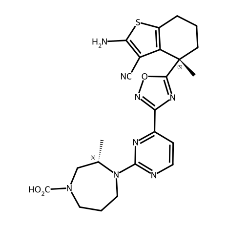 C[C@H]1CN(C(=O)O)CCCN1c1nccc(-c2noc([C@@]3(C)CCCc4sc(N)c(C#N)c43)n2)n1